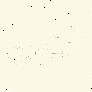 CC1(C)C2=C(OC3=CC=C(Cl)CC31)c1sc3ccccc3c1CC2